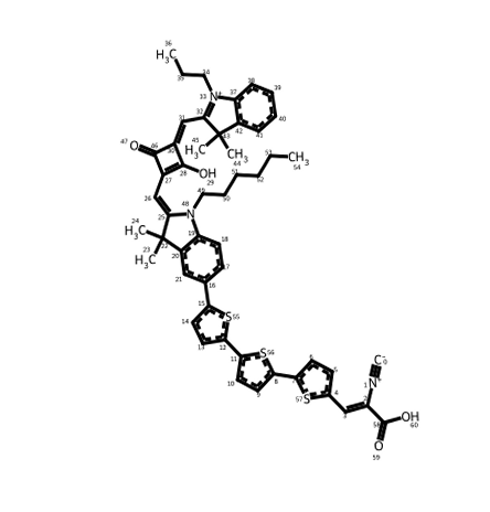 [C-]#[N+]/C(=C\c1ccc(-c2ccc(-c3ccc(-c4ccc5c(c4)C(C)(C)C(=CC4=C(O)C(=CC6=[N+](CCC)c7ccccc7C6(C)C)C4=O)N5CCCCCC)s3)s2)s1)C(=O)O